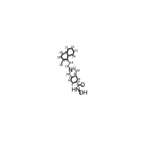 O=C(NO)c1ccc2c(c1)CCN(CCc1c(I)ccc3ccccc13)C2